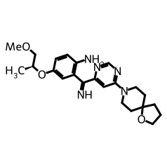 COC[C@H](C)Oc1ccc(N)c(C(=N)c2cc(N3CCC4(CCCO4)CC3)ncn2)c1